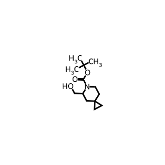 CC(C)(C)OC(=O)N1CCC2(CC2)CC1CO